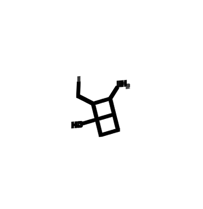 BC1C(CI)C2(O)CCC12